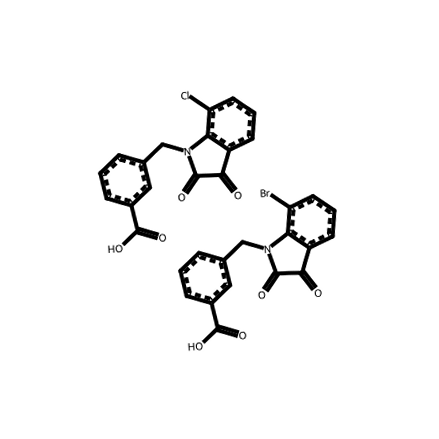 O=C(O)c1cccc(CN2C(=O)C(=O)c3cccc(Br)c32)c1.O=C(O)c1cccc(CN2C(=O)C(=O)c3cccc(Cl)c32)c1